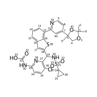 CC1(C)OCC(C)(c2ccnc(-c3cccc4cc(C(NS(=O)(=O)C5CC5)c5nc(NC(=O)O)ccc5Cl)sc34)c2)O1